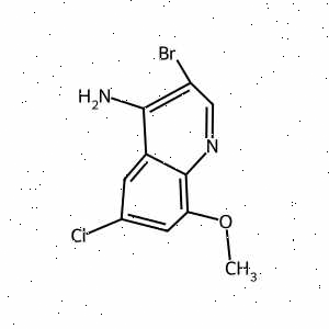 COc1cc(Cl)cc2c(N)c(Br)cnc12